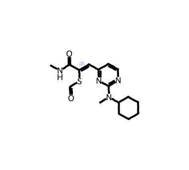 CNC(=O)/C(=C/c1ccnc(N(C)C2CCCCC2)n1)SC=O